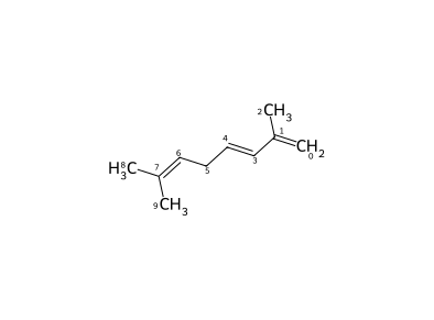 C=C(C)C=CCC=C(C)C